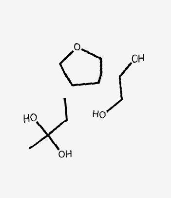 C1CCOC1.CCC(C)(O)O.OCCO